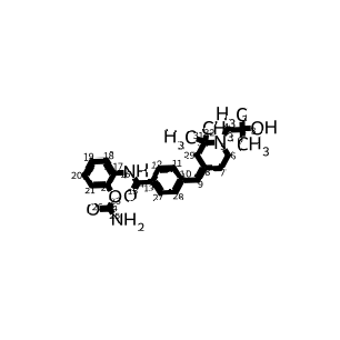 CC(C)(O)CN1CCC(=Cc2ccc(C(=O)Nc3ccccc3OC(N)=O)cc2)CC1(C)C